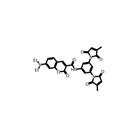 CCN(CC)c1ccc2cc(C(=O)Nc3cc(N4C(=O)C=C(C)C4=O)cc(N4C(=O)C=C(C)C4=O)c3)c(=O)oc2c1